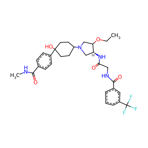 CCOC1CN(C2CCC(O)(c3ccc(C(=O)NC)cc3)CC2)C[C@@H]1NC(=O)CNC(=O)c1cccc(C(F)(F)F)c1